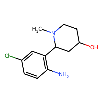 CN1CCC(O)CC1c1cc(Cl)ccc1N